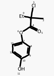 CCC(C)(Cl)C(=O)Oc1ccc(O)cc1